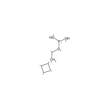 C1CCC1.CCOP(O)O